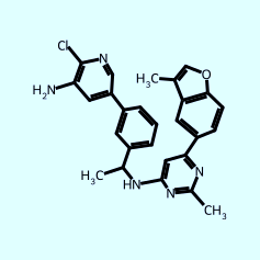 Cc1nc(NC(C)c2cccc(-c3cnc(Cl)c(N)c3)c2)cc(-c2ccc3occ(C)c3c2)n1